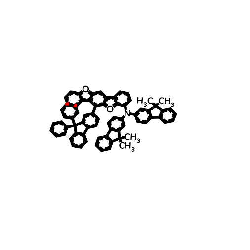 CC1(C)c2ccccc2-c2ccc(N(c3ccc4c(c3)C(C)(C)c3ccccc3-4)c3cccc4c3oc3c(-c5ccc6c(c5)C(c5ccccc5)(c5ccccc5)c5ccccc5-6)c5c(cc34)oc3ccccc35)cc21